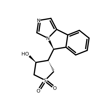 O=S1(=O)C[C@@H]([C@@H]2c3ccccc3-c3cncn32)[C@H](O)C1